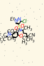 CCn1cc(S(=O)(=O)N2c3cc(N(C(=O)O)C(C)(C)C(F)(F)F)ccc3OC(CC(C)(C)C#N)C2C)c(Cl)n1